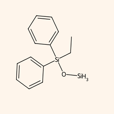 CC[Si](O[SiH3])(c1ccccc1)c1ccccc1